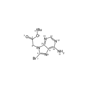 CC(C)(C)OC(=O)Cn1c(Br)nc2c(N)ncnc21